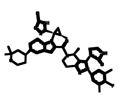 Cc1cc(-n2nc3c(c2-n2cc[nH]c2=O)[C@H](C)N(C(=O)c2cc4cc([C@H]5CCOC(C)(C)C5)ccc4n2[C@@]2(c4noc(=O)[nH]4)C[C@@H]2C)CC3)cc(C)c1F